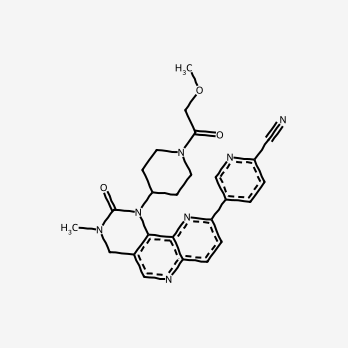 COCC(=O)N1CCC(N2C(=O)N(C)Cc3cnc4ccc(-c5ccc(C#N)nc5)nc4c32)CC1